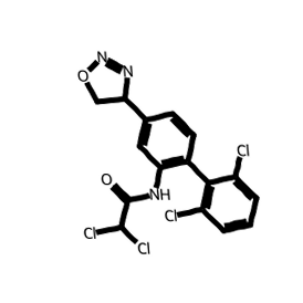 O=C(Nc1cc(C2CON=N2)ccc1-c1c(Cl)cccc1Cl)C(Cl)Cl